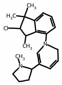 CC1c2c(N3C=C(C4CCCN4C)C=CC3)cccc2C(C)(C)C1Cl